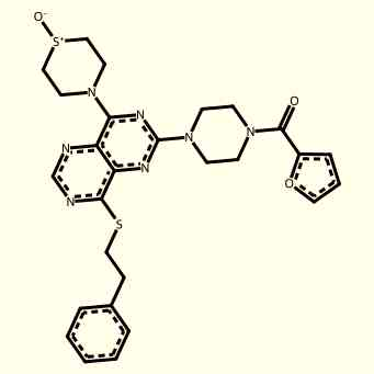 O=C(c1ccco1)N1CCN(c2nc(N3CC[S+]([O-])CC3)c3ncnc(SCCc4ccccc4)c3n2)CC1